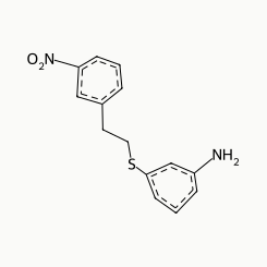 Nc1cccc(SCCc2cccc([N+](=O)[O-])c2)c1